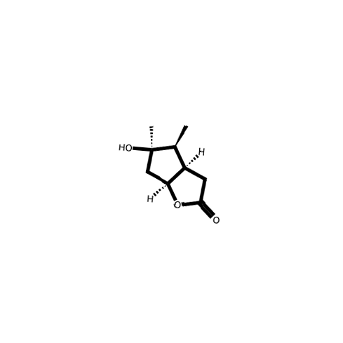 C[C@H]1[C@H]2CC(=O)O[C@H]2C[C@@]1(C)O